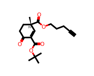 C#CCCCOC(=O)[C@]1(C)C=C(C(=O)OC(C)(C)C)C(=O)CC1